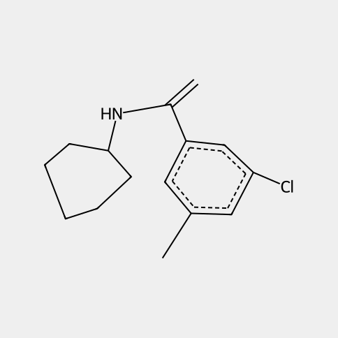 C=C(NC1CCCCC1)c1cc(C)cc(Cl)c1